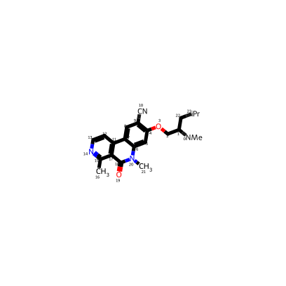 CNC(COc1cc2c(cc1C#N)c1ccnc(C)c1c(=O)n2C)CC(C)C